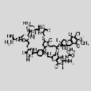 COC1=C(C)C(=O)C2=C(C1=O)[C@H](COC(N)=O)[C@]1(OC)[C@H]3[C@@H](CN21)N3C(=O)CCN1C(=O)CC(SCC(NC(=O)[C@@H](CC(=O)O)NC(=O)[C@@H](CCCNC(=N)N)NC(=O)CC[C@@H](NC(=O)c2ccc(NCc3cnc4nc(N)[nH]c(=O)c4n3)cc2)C(=O)O)C(=O)O)C1=O